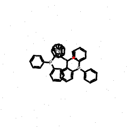 CN(C)C(c1ccccc1P(c1ccccc1)c1ccccc1)[C]12[CH]3[CH]4[CH]5[C]1(P(c1ccccc1)c1ccccc1)[Fe]43521678[CH]2[CH]1[CH]6[CH]7[CH]28